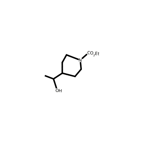 CCOC(=O)N1CCC(C(C)O)CC1